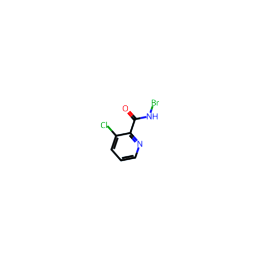 O=C(NBr)c1ncccc1Cl